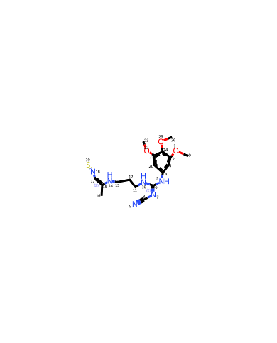 COc1cc(N/C(=N/C#N)NCCCN/C(C)=C\N=S)cc(OC)c1OC